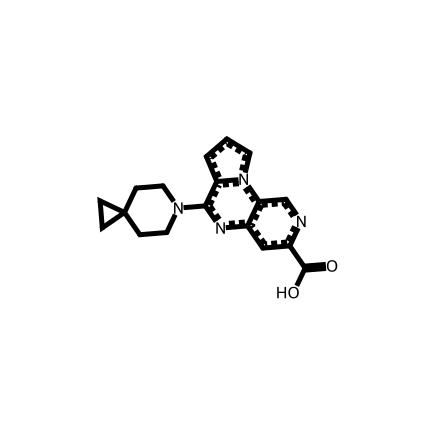 O=C(O)c1cc2nc(N3CCC4(CC3)CC4)c3cccn3c2cn1